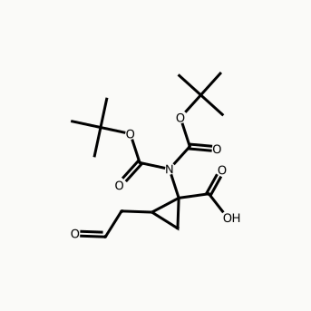 CC(C)(C)OC(=O)N(C(=O)OC(C)(C)C)C1(C(=O)O)CC1CC=O